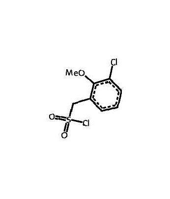 COc1c(Cl)cccc1CS(=O)(=O)Cl